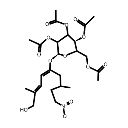 CC(=O)OCC1O[C@@H](O/C(=C/C=C(\C)CO)CC(C)CC[N+](=O)[O-])C(OC(C)=O)C(OC(C)=O)[C@H]1OC(C)=O